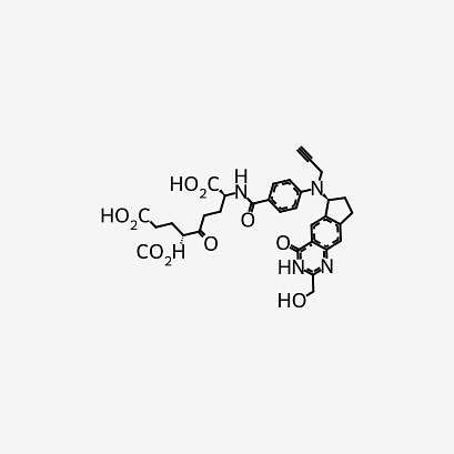 C#CCN(c1ccc(C(=O)N[C@@H](CCC(=O)[C@@H](CCC(=O)O)C(=O)O)C(=O)O)cc1)[C@H]1CCc2cc3nc(CO)[nH]c(=O)c3cc21